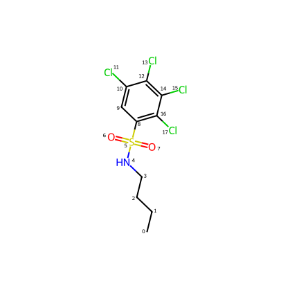 CCCCNS(=O)(=O)c1cc(Cl)c(Cl)c(Cl)c1Cl